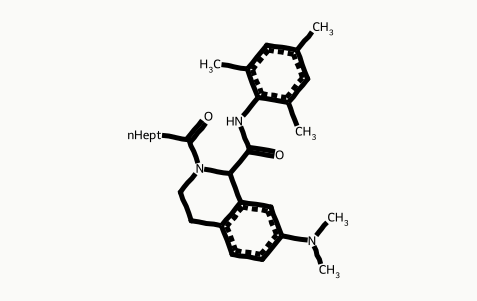 CCCCCCCC(=O)N1CCc2ccc(N(C)C)cc2C1C(=O)Nc1c(C)cc(C)cc1C